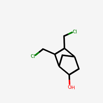 OC1CC2CC1C(CCl)C2CCl